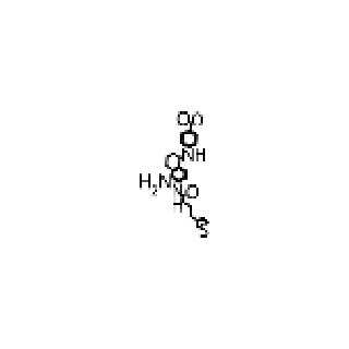 COC(=O)c1ccc(NC2CCCc3c2ccc(NC(=O)CCCc2ccsc2)c3N)cc1